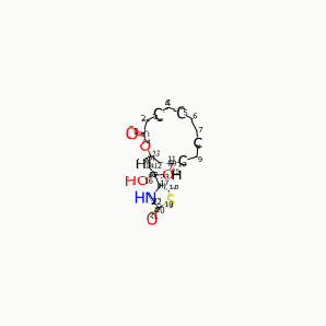 O=C1CCCCCCCCC[C@@H]2C[C@H](C[C@](O)([C@@H]3CSC(=O)N3)O2)O1